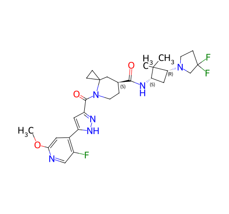 COc1cc(-c2cc(C(=O)N3CC[C@H](C(=O)N[C@H]4C[C@@H](N5CCC(F)(F)C5)C4(C)C)CC34CC4)n[nH]2)c(F)cn1